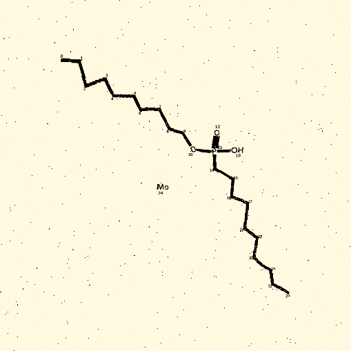 CCCCCCCCCCOP(=O)(O)CCCCCCCCCC.[Mo]